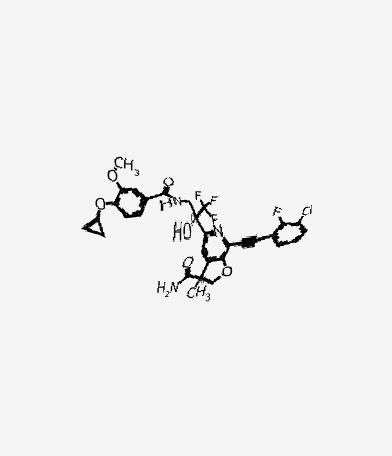 COc1cc(C(=O)NC[C@](O)(c2cc3c(c(C#Cc4cccc(Cl)c4F)n2)OC[C@]3(C)C(N)=O)C(F)(F)F)ccc1OC1CC1